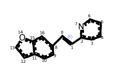 C(=C\c1ccccn1)/c1ccc2ccoc2c1